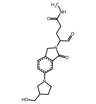 CNC(=O)CCC(C=O)N1Cc2ccc(N3CCC(CO)C3)cc2C1=O